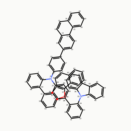 c1ccc(N(c2ccc(-c3ccc4c(ccc5ccccc54)c3)cc2)c2ccc(-c3ccccc3-n3c4ccccc4c4ccccc43)cc2)c(-c2cccc3oc4c5ccccc5ccc4c23)c1